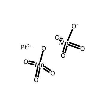 [O]=[Mn](=[O])(=[O])[O-].[O]=[Mn](=[O])(=[O])[O-].[Pt+2]